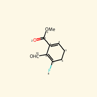 COC(=O)C1=CCCC(F)=C1C=O